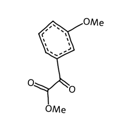 COC(=O)C(=O)c1cccc(OC)c1